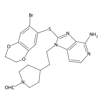 Nc1nccc2c1nc(Sc1cc3c(cc1Br)OCCO3)n2CCC1CCN(C=O)CC1